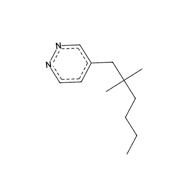 CCCCC(C)(C)Cc1ccnnc1